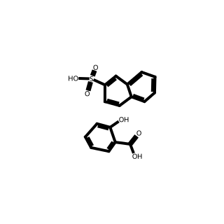 O=C(O)c1ccccc1O.O=S(=O)(O)c1ccc2ccccc2c1